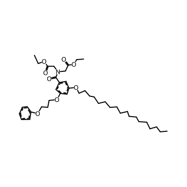 CCCCCCCCCCCCCCCCCCOc1cc(OCCCOc2ccccc2)cc(C(=O)N(CC(=O)OCC)CC(=O)OCC)c1